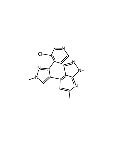 Cc1cc(-c2cn(C)nc2-c2ccncc2Cl)c2cn[nH]c2n1